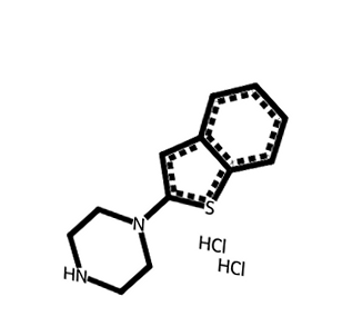 Cl.Cl.c1ccc2sc(N3CCNCC3)cc2c1